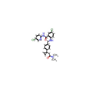 CN(C)C(=O)CC1(c2ccc(CNc3ccc(Cl)cc3C(=O)Nc3ccc(Cl)cn3)cc2)CC1